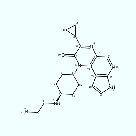 NCCN[C@H]1CC[C@H](n2c(=O)c(C3CC3)nc3cnc4[nH]ccc4c32)CC1